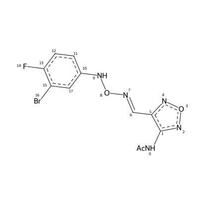 CC(=O)Nc1nonc1/C=N/ONc1ccc(F)c(Br)c1